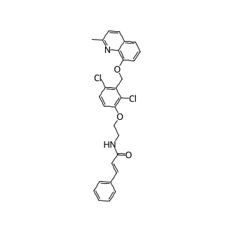 Cc1ccc2cccc(OCc3c(Cl)ccc(OCCNC(=O)/C=C/c4ccccc4)c3Cl)c2n1